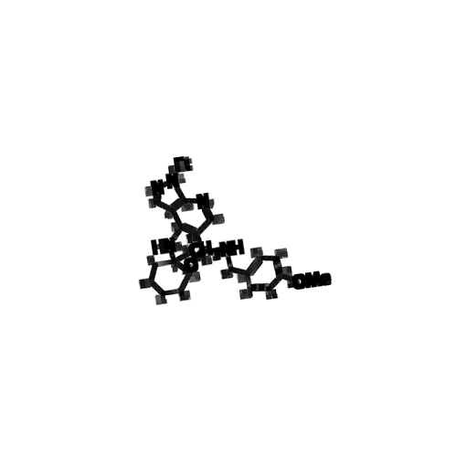 CCn1ncc2c(NC3(C)CCCCC3)c(C(=O)NCc3ccc(OC)cc3)cnc21